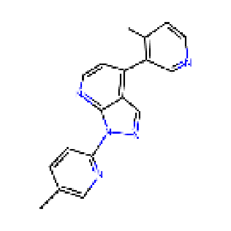 Cc1ccc(-n2ncc3c(-c4cnccc4C)ccnc32)nc1